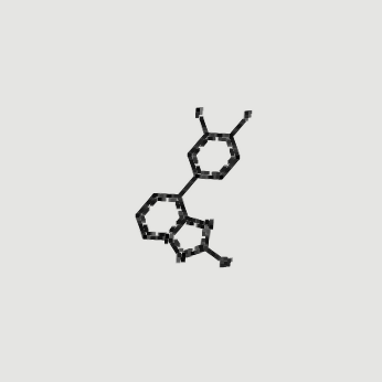 Fc1ccc(-c2cccn3nc(Br)nc23)cc1F